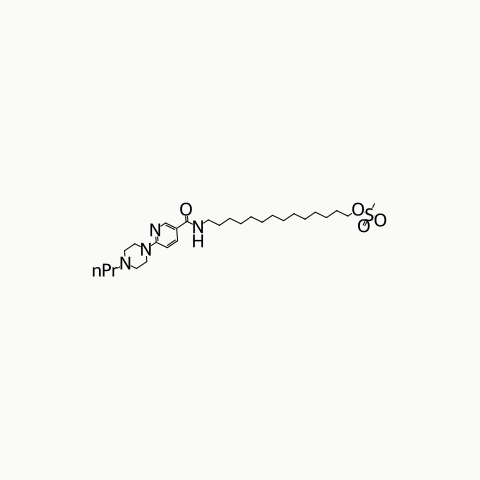 CCCN1CCN(c2ccc(C(=O)NCCCCCCCCCCCCCCOS(C)(=O)=O)cn2)CC1